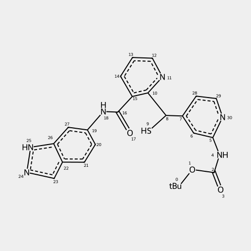 CC(C)(C)OC(=O)Nc1cc(C(S)c2ncccc2C(=O)Nc2ccc3cn[nH]c3c2)ccn1